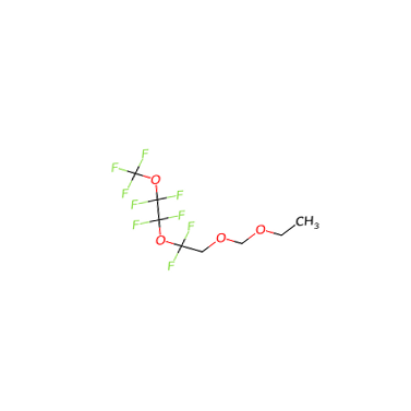 CCOCOCC(F)(F)OC(F)(F)C(F)(F)OC(F)(F)F